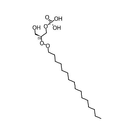 CCCCCCCCCCCCCCCCOO[C@@H](CO)COP(=O)(O)O